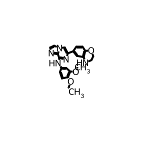 CCOc1ccc(Nc2nc(-c3ccc4c(c3)NCCO4)cn3ccnc23)cc1OC